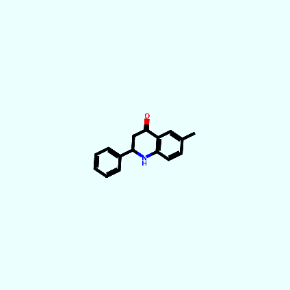 Cc1ccc2c(c1)C(=O)CC(c1ccccc1)N2